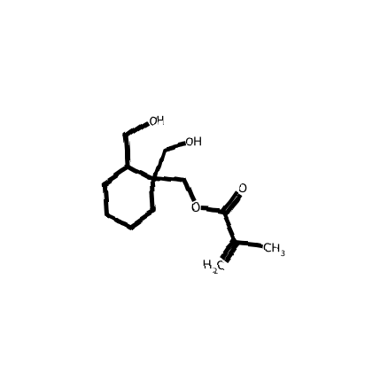 C=C(C)C(=O)OCC1(CO)CCCCC1CO